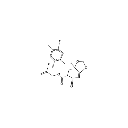 C=C(F)COC(=O)[C@@H]1C[C@]2([C@@H](C)Cc3cc(F)c(C)cc3F)OCOC2=CC1=O